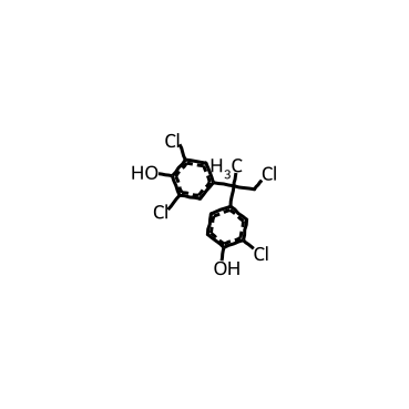 CC(CCl)(c1ccc(O)c(Cl)c1)c1cc(Cl)c(O)c(Cl)c1